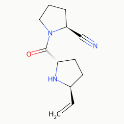 C=C[C@@H]1CC[C@@H](C(=O)N2CCC[C@H]2C#N)N1